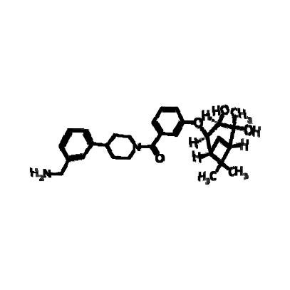 CC1(C)[C@H]2C[C@@H]1[C@@](C)(O)[C@H](O)[C@@H]2Oc1cccc(C(=O)N2CCC(c3cccc(CN)c3)CC2)c1